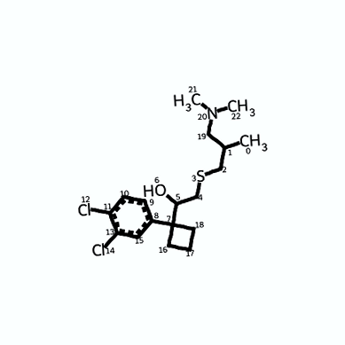 CC(CSCC(O)C1(c2ccc(Cl)c(Cl)c2)CCC1)CN(C)C